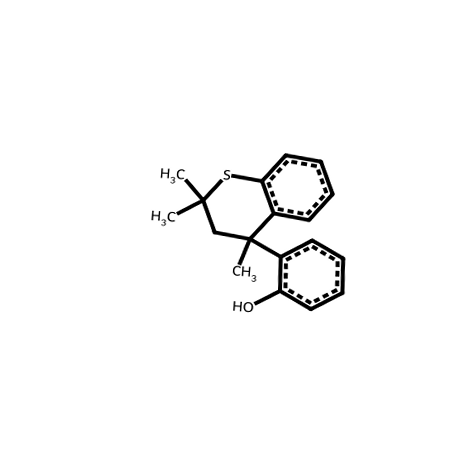 CC1(C)CC(C)(c2ccccc2O)c2ccccc2S1